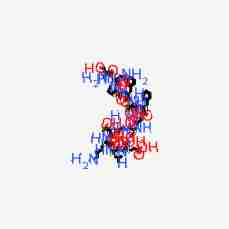 CC(C)C[C@H](NC(=O)[C@H](CCCCN)NC(=O)[C@@H](NC(=O)CNC(=O)[C@H](CO)NC(=O)CNC(=O)[C@H](Cc1ccccc1)NC(=O)[C@@H](NC(=O)[C@H](Cc1ccccc1)NC(=O)[C@@H]1CCCN1C(=O)[C@H](CC(N)=O)NC(=O)[C@@H](N)CO)[C@@H](C)O)[C@@H](C)O)C(=O)N[C@@H](CCC(=O)O)C(=O)O